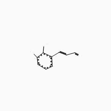 O=[C]/C=C/c1cccc(O)c1O